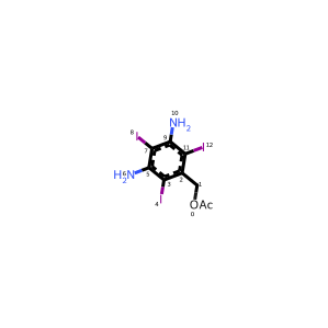 CC(=O)OCc1c(I)c(N)c(I)c(N)c1I